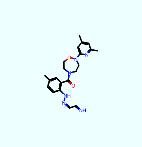 Cc1cc(C)nc(N2CCN(C(=O)c3cc(C)ccc3N/N=C\C=N)CCO2)c1